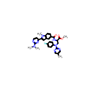 COC(=O)C(CN(c1ccc(F)cc1)c1ncc(C)cn1)NC(=O)c1ccc2c(c1)cc(-c1ccnc(N(C)C)n1)n2C